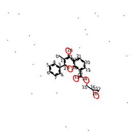 Cc1c(-c2ccccc2)oc2c(C(=O)OCC3CO3)cccc2c1=O